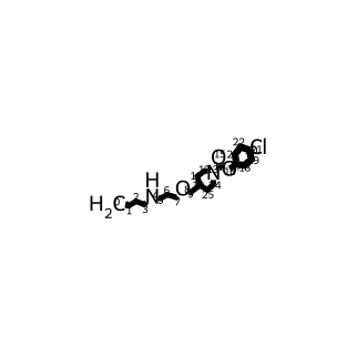 C=CCCNCCCOCC1CCN(C(=O)Oc2ccc(Cl)cc2)CC1